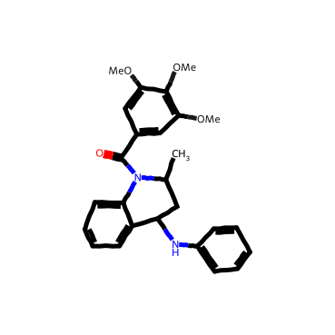 COc1cc(C(=O)N2c3ccccc3C(Nc3ccccc3)CC2C)cc(OC)c1OC